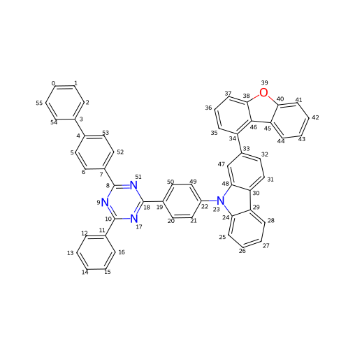 c1ccc(-c2ccc(-c3nc(-c4ccccc4)nc(-c4ccc(-n5c6ccccc6c6ccc(-c7cccc8oc9ccccc9c78)cc65)cc4)n3)cc2)cc1